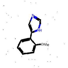 COc1ccccc1-c1cnc[nH]1